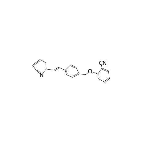 N#Cc1ccccc1OCc1ccc(/C=C/c2ccccn2)cc1